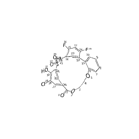 O=C1OCCOc2ccccc2-c2cc(c(F)cc2F)NS(=O)(=O)c2cc1cc(Cl)c2O